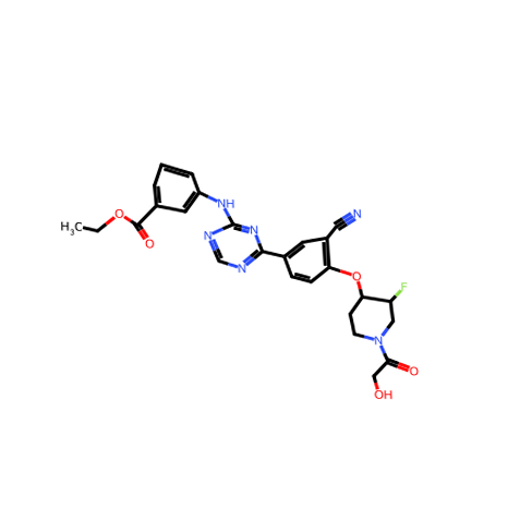 CCOC(=O)c1cccc(Nc2ncnc(-c3ccc(OC4CCN(C(=O)CO)CC4F)c(C#N)c3)n2)c1